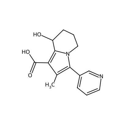 Cc1c(C(=O)O)c2n(c1-c1cccnc1)CCCC2O